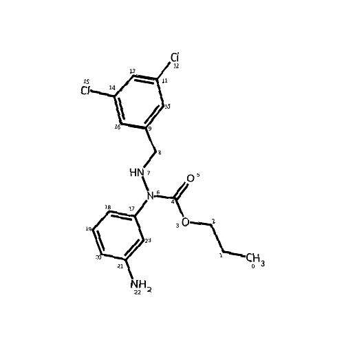 CCCOC(=O)N(NCc1cc(Cl)cc(Cl)c1)c1cccc(N)c1